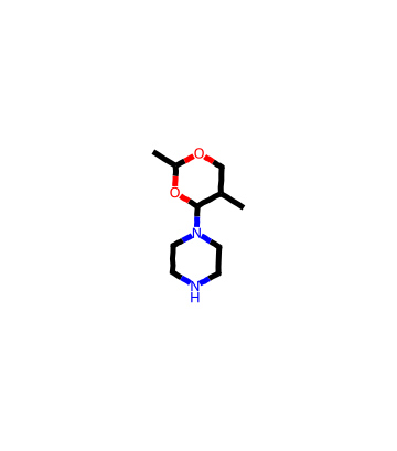 CC1OCC(C)C(N2CCNCC2)O1